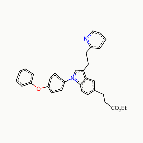 CCOC(=O)CCc1ccc2c(c1)c(CCc1ccccn1)cn2-c1ccc(Oc2ccccc2)cc1